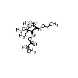 CCON=C(SC)C(=NOC(=O)NC)C(C)(C)C